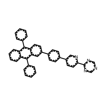 c1ccc(-c2c3ccccc3c(-c3ccccc3)c3cc(-c4ccc(-c5ccc(-c6ncncn6)nc5)cc4)ccc23)cc1